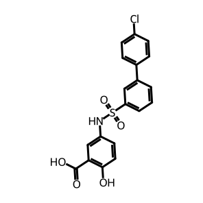 O=C(O)c1cc(NS(=O)(=O)c2cccc(-c3ccc(Cl)cc3)c2)ccc1O